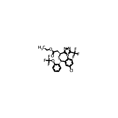 CCOC(=O)C[C@@H]1S[C@@H](c2ccccc2OC(F)(F)F)c2cc(Cl)ccc2-n2c1nnc2C(F)(F)F